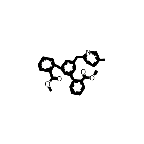 COC(=O)c1ccccc1-c1cc(Cc2ccc(C)cn2)cc(-c2ccccc2C(=O)OC)c1